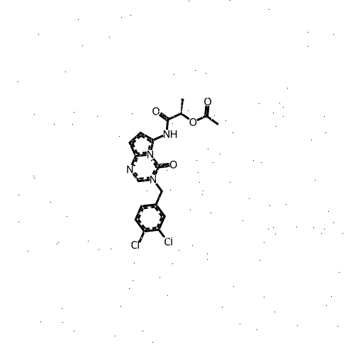 CC(=O)O[C@H](C)C(=O)Nc1ccc2ncn(Cc3ccc(Cl)c(Cl)c3)c(=O)n12